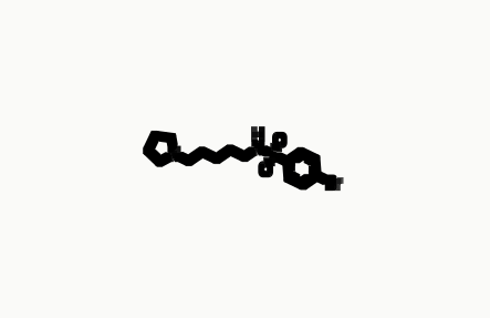 O=S(=O)(NCCCCCN1CCCC1)c1ccc(Br)cc1